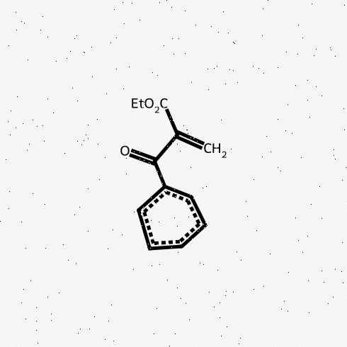 C=C(C(=O)OCC)C(=O)c1ccccc1